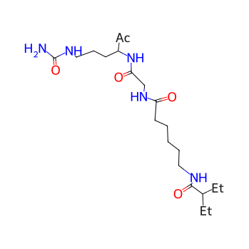 CCC(CC)C(=O)NCCCCCC(=O)NCC(=O)NC(CCCNC(N)=O)C(C)=O